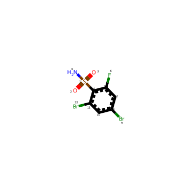 NS(=O)(=O)c1c(F)cc(Br)cc1Br